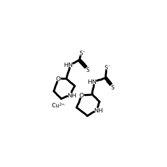 S=C([S-])NC1CNCCO1.S=C([S-])NC1CNCCO1.[Cu+2]